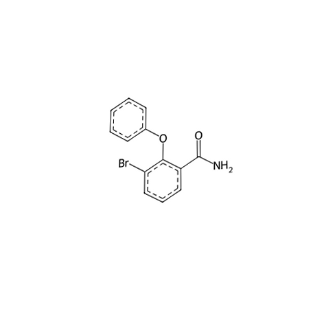 NC(=O)c1cccc(Br)c1Oc1ccccc1